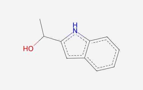 CC(O)c1cc2ccccc2[nH]1